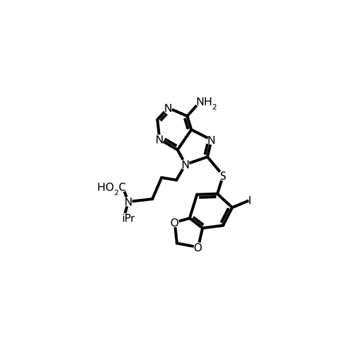 CC(C)N(CCCn1c(Sc2cc3c(cc2I)OCO3)nc2c(N)ncnc21)C(=O)O